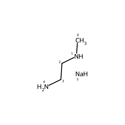 CNCCN.[NaH]